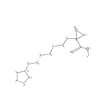 COC(=O)C1(CCCCCCCC2CCCC2)CO1